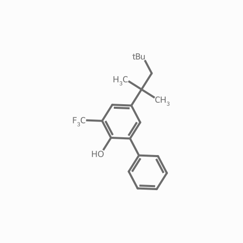 CC(C)(C)CC(C)(C)c1cc(-c2ccccc2)c(O)c(C(F)(F)F)c1